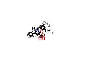 Cc1cc(C)c(Oc2ncc(-c3ccccc3)cc2C(=O)O)c(C)c1